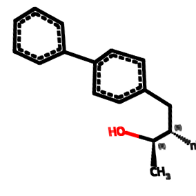 CCCC[C@@H](Cc1ccc(-c2ccccc2)cc1)[C@@H](C)O